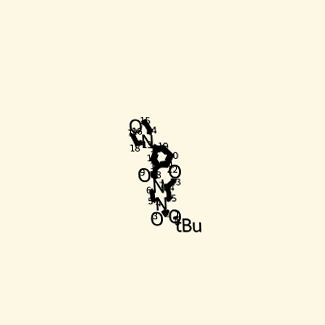 CC(C)(C)OC(=O)N1CCN2C(=O)c3cc(N4CCOCC4)ccc3OCC2C1